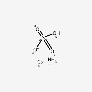 N.O=S(=O)([O-])O.[Cs+]